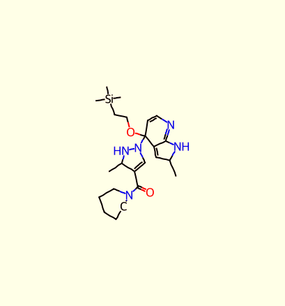 CC1C=C2C(=NC=CC2(OCC[Si](C)(C)C)N2C=C(C(=O)N3CCCCC3)C(C)N2)N1